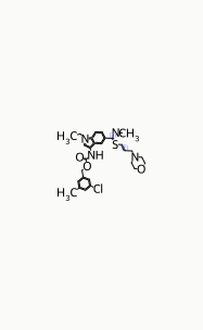 CCn1cc(NC(=O)OCc2cc(C)cc(Cl)c2)c2cc(/C(=N/C)S/C=C/CN3CCOCC3)ccc21